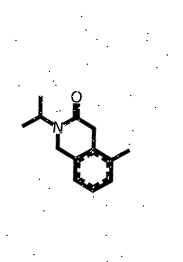 Cc1cccc2c1CC(=O)N(C(C)C)C2